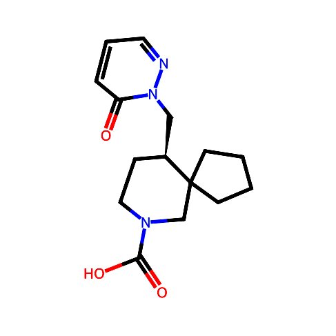 O=C(O)N1CC[C@@H](Cn2ncccc2=O)C2(CCCC2)C1